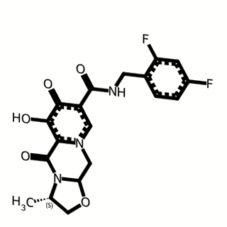 C[C@H]1COC2Cn3cc(C(=O)NCc4ccc(F)cc4F)c(=O)c(O)c3C(=O)N21